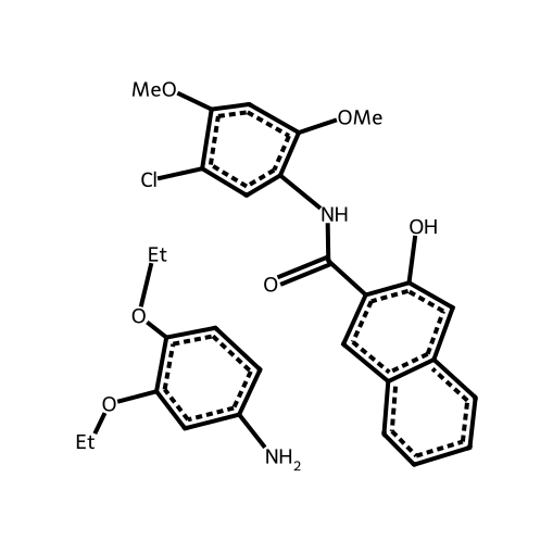 CCOc1ccc(N)cc1OCC.COc1cc(OC)c(NC(=O)c2cc3ccccc3cc2O)cc1Cl